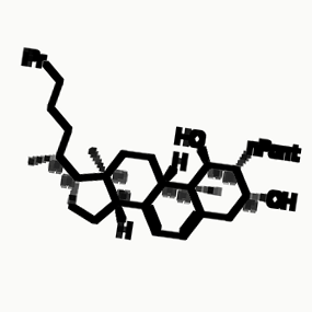 CCCCC[C@@H]1[C@H](O)CC2=CC=C3[C@@H]4CC[C@H]([C@H](C)CCCC(C)C)[C@@]4(C)CC[C@@H]3[C@@]2(C)[C@H]1O